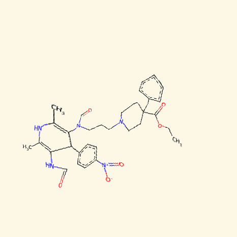 CCOC(=O)C1(c2ccccc2)CCN(CCCN(C=O)C2=C(C)NC(C)=C(NC=O)C2c2ccc([N+](=O)[O-])cc2)CC1